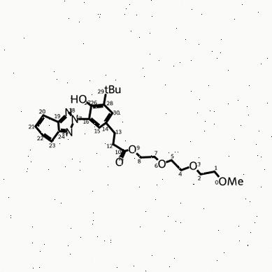 COCCOCCOCCOC(=O)CCc1cc(-n2nc3ccccc3n2)c(O)c(C(C)(C)C)c1